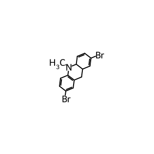 CN1c2ccc(Br)cc2CC2C=C(Br)C=CC21